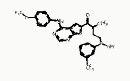 CCCN(CCC(C)C(=O)c1cc2c(Nc3ccc(OC(F)(F)F)cc3)ncnc2s1)c1cccc(C(F)(F)F)c1